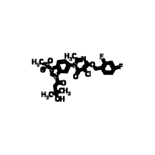 Cc1nc(OCc2ccc(F)cc2F)c(Cl)c(=O)n1-c1ccc2c(c1)N(C(=O)CC(C)(C)O)CN2S(C)(=O)=O